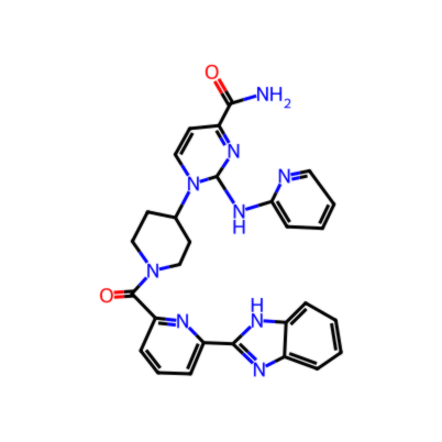 NC(=O)C1=NC(Nc2ccccn2)N(C2CCN(C(=O)c3cccc(-c4nc5ccccc5[nH]4)n3)CC2)C=C1